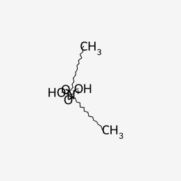 CCCCCCCCCCCCCCCC(=O)[N+](CCO)(CCO)C(=O)CCCCCCCCCCCCCCC